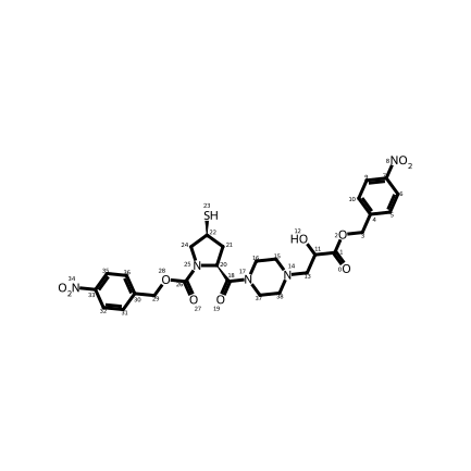 O=C(OCc1ccc([N+](=O)[O-])cc1)C(O)CN1CCN(C(=O)[C@@H]2C[C@H](S)CN2C(=O)OCc2ccc([N+](=O)[O-])cc2)CC1